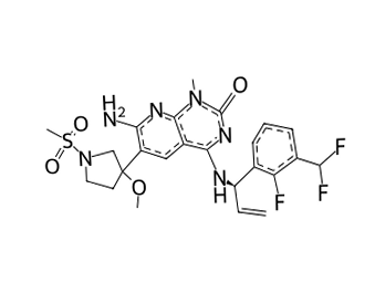 C=C[C@@H](Nc1nc(=O)n(C)c2nc(N)c(C3(OC)CCN(S(C)(=O)=O)C3)cc12)c1cccc(C(F)F)c1F